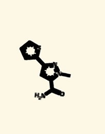 Cn1nc(-c2cccs2)cc1C(N)=O